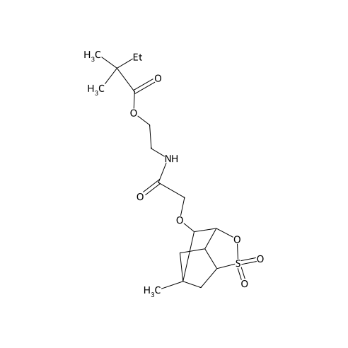 CCC(C)(C)C(=O)OCCNC(=O)COC1C2OS(=O)(=O)C3CC1(C)CC23